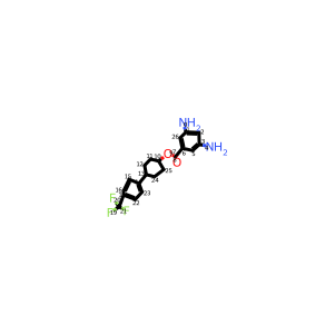 Nc1cc(N)cc(C(=O)OC2CCC(c3ccc(C(F)(F)F)cc3)CC2)c1